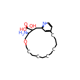 NC1COCCCCCCCCCCCc2ccnc(c2)C[C@]1(O)C(=O)O